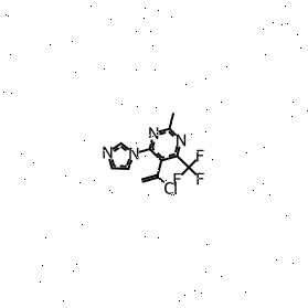 C=C(Cl)c1c(-n2ccnc2)nc(C)nc1C(F)(F)F